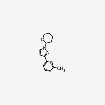 Cc1cccc(-c2ccn(C3CCCCO3)n2)n1